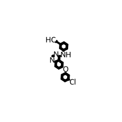 C#Cc1cccc(Nc2ncnc3ccc(Oc4cccc(Cl)c4)cc23)c1